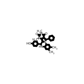 Cc1cc2c(cc1C)-n1c(-c3ccccc3)c3c(=O)n(C)c(=O)n(C)c3c1C(c1ccc(O)cc1)N2